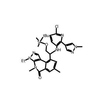 CCn1ncc2c3c(C(CO[Si](C)(C)C(C)(C)C)Nc4ccc(Cl)nc4-c4cnn(C)c4)cc(C)cc3c(=O)n(C)c21